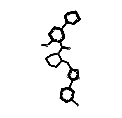 COc1ccc(-c2ccccc2)cc1C(=O)N1CCCCC1Cc1nnc(-c2cccc(F)c2)o1